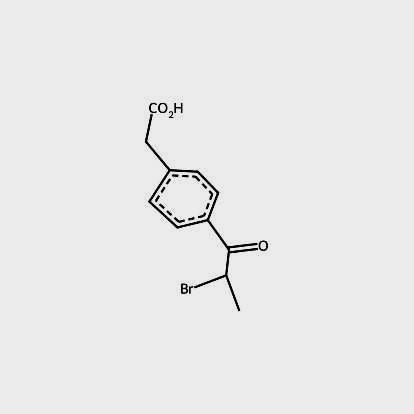 CC(Br)C(=O)c1ccc(CC(=O)O)cc1